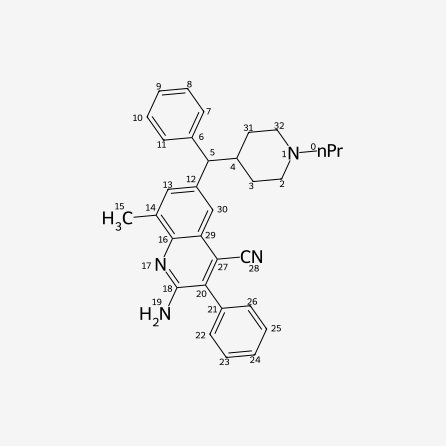 CCCN1CCC(C(c2ccccc2)c2cc(C)c3nc(N)c(-c4ccccc4)c(C#N)c3c2)CC1